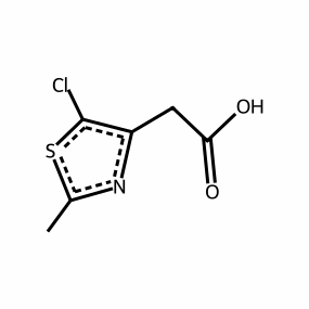 Cc1nc(CC(=O)O)c(Cl)s1